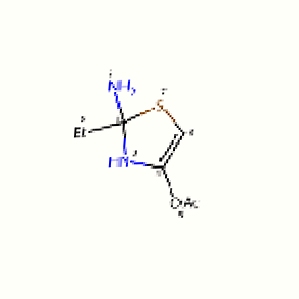 CCC1(N)NC(OC(C)=O)=CS1